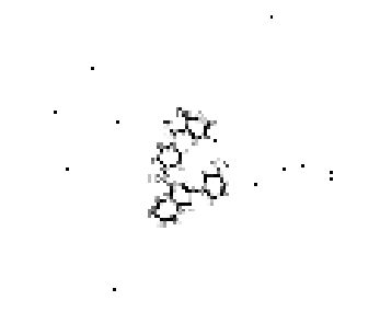 N#Cc1cccc(-c2cc(NC3CCN(C(=O)c4cccnc4F)CC3)c3cnccc3c2)c1